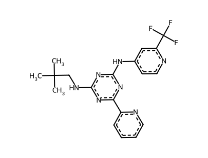 CC(C)(C)CNc1nc(Nc2ccnc(C(F)(F)F)c2)nc(-c2ccccn2)n1